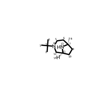 CC(C)(C)N1CC[C@@]2(C)CC[C@@H](C1)N2